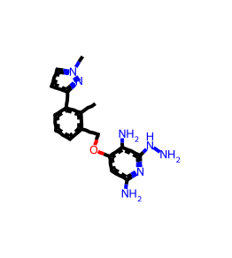 Cc1c(COc2cc(N)nc(NN)c2N)cccc1-c1ccn(C)n1